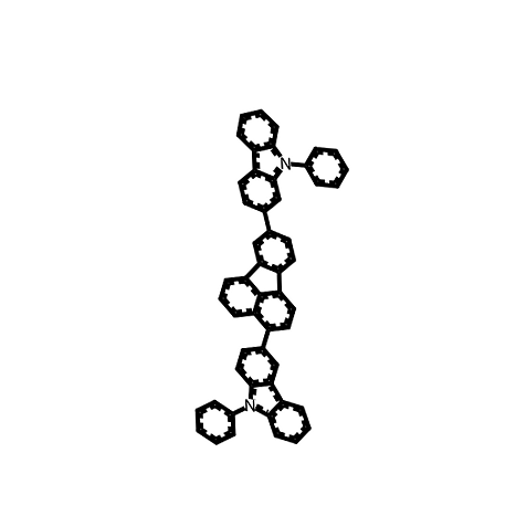 c1ccc(-n2c3ccccc3c3cc(-c4ccc5c6c(cccc46)-c4cc(-c6ccc7c8ccccc8n(-c8ccccc8)c7c6)ccc4-5)ccc32)cc1